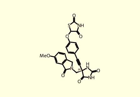 COc1ccc2c(c1)C(=O)N(C[C@@]1(C#Cc3ccc(OC4SC(=O)NC4=O)cc3)NC(=O)NC1=O)C2